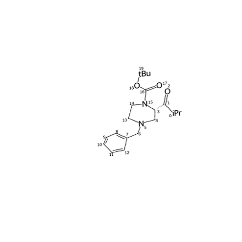 CC(C)C(=O)[C@@H]1CN(Cc2ccccc2)CCN1C(=O)OC(C)(C)C